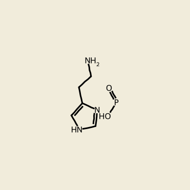 NCCc1c[nH]cn1.O=PO